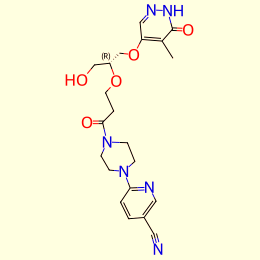 Cc1c(OC[C@@H](CO)OCCC(=O)N2CCN(c3ccc(C#N)cn3)CC2)cn[nH]c1=O